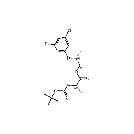 C[C@H](NC(=O)OC(C)(C)C)C(=O)O[C@@H](C)[C@@H](C)Oc1cc(F)cc(Cl)c1